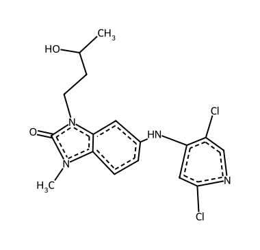 CC(O)CCn1c(=O)n(C)c2ccc(Nc3cc(Cl)ncc3Cl)cc21